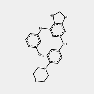 Cc1cccc(Nc2nc(Nc3ccc(N4CCOCC4)cc3)nc3c2NCN3)c1